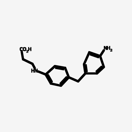 Nc1ccc(Cc2ccc(NCCC(=O)O)cc2)cc1